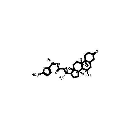 CC(C)[C@H](NC(=O)C[C@@H](C)C1CC[C@H]2C3[C@H](O)CC4CC(=O)CCC4(C)[C@H]3CCC12C)c1ccc(S(=O)(=O)O)s1